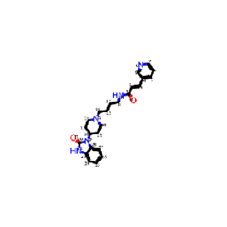 O=C(C=Cc1cccnc1)NCCCCN1CCC(n2c(=O)[nH]c3ccccc32)CC1